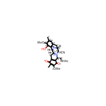 COC1=C(C)C(=O)C2=C(C1=O)[C@H](CNC(C)=O)N1[C@@H](C#N)[C@H]3Cc4cc(C)c(OC)c(O)c4[C@H]([C@@H]1C2)N3C